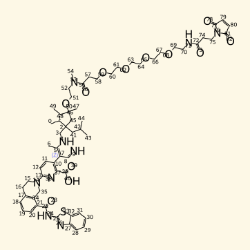 CCC(CN/C(C)=C(\C=N)c1ccc(N2CCc3cccc(C(=O)Nc4nc5ccccc5s4)c3C2)nc1C(=O)O)(CC(C)C)CC(C)(CC)OCCN(C)C(=O)CCOCCOCCOCCOCCNC(=O)CCN1C(=O)C=CC1=O